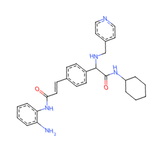 Nc1ccccc1NC(=O)C=Cc1ccc(C(NCc2ccncc2)C(=O)NC2CCCCC2)cc1